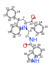 O=C(NCCNC(CC(c1ccccc1)c1ccccc1)C(=O)c1ccccc1)c1cccc2[nH]ccc12